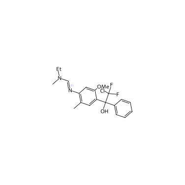 CCN(C)/C=N/c1cc(OC)c(C(O)(c2ccccc2)C(F)(F)Cl)cc1C